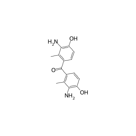 Cc1c(C(=O)c2ccc(O)c(N)c2C)ccc(O)c1N